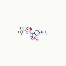 CC(C)(C)OC(=O)Nc1ccc(N)cc1[N+](=O)[O-]